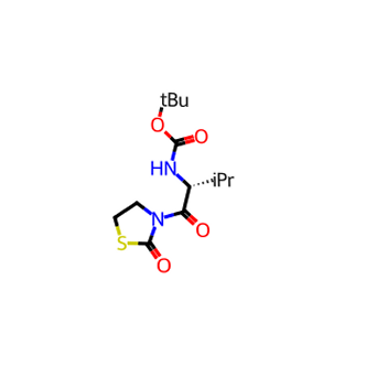 CC(C)[C@@H](NC(=O)OC(C)(C)C)C(=O)N1CCSC1=O